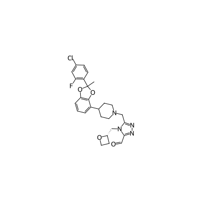 CC1(c2ccc(Cl)cc2F)Oc2cccc(C3CCN(Cc4nnc(C=O)n4C[C@@H]4CCO4)CC3)c2O1